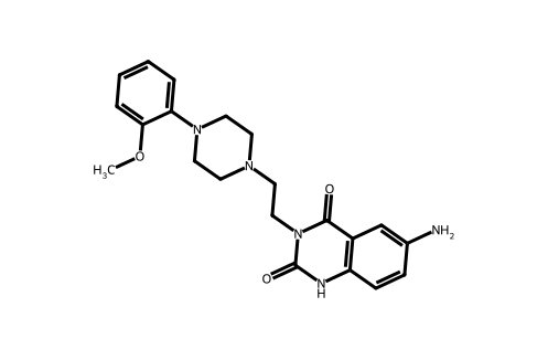 COc1ccccc1N1CCN(CCn2c(=O)[nH]c3ccc(N)cc3c2=O)CC1